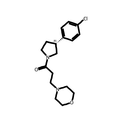 O=C(CCN1CCOCC1)N1CC[C@H](c2ccc(Cl)cc2)C1